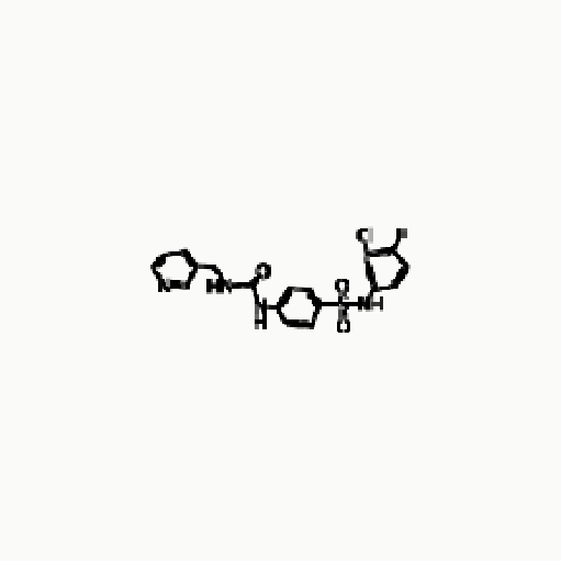 O=C(NCc1cccnc1)Nc1ccc(S(=O)(=O)Nc2ccc(F)c(Cl)c2)cc1